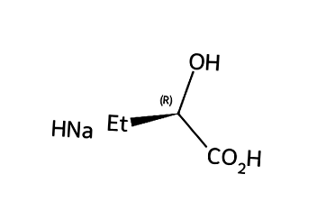 CC[C@@H](O)C(=O)O.[NaH]